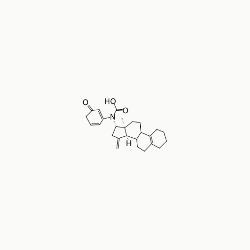 C=C1C[C@H](N(C(=O)O)C2=CC(=O)CC=C2)[C@@]2(C)CCC3C4=C(CCCC4)CCC3[C@@H]12